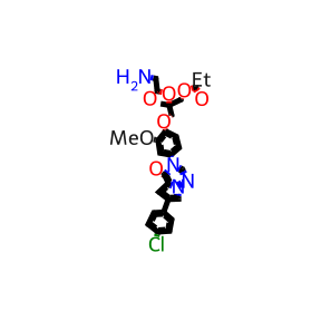 CCC(=O)OCC(C)(COc1ccc(-n2cnn3cc(-c4ccc(Cl)cc4)cc3c2=O)cc1OC)OC(=O)CN